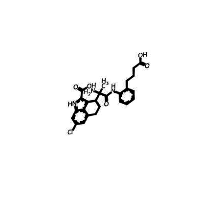 CC(N)(C(=O)Nc1ccccc1CCCC(=O)O)C1CCc2cc(Cl)cc3[nH]c(C(=O)O)c1c23